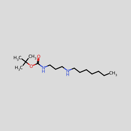 CCCCCCCNCCCNC(=O)OC(C)(C)C